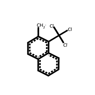 [CH2]c1ccc2ccccc2c1C(Cl)(Cl)Cl